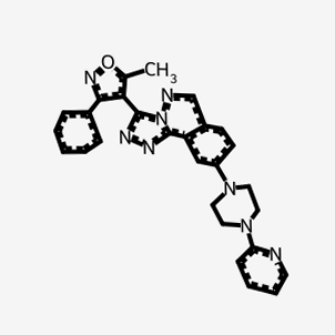 Cc1onc(-c2ccccc2)c1-c1nnc2c3cc(N4CCN(c5ccccn5)CC4)ccc3cnn12